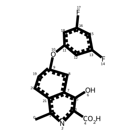 Cc1nc(C(=O)O)c(O)c2cc(Oc3cc(F)cc(F)c3)ccc12